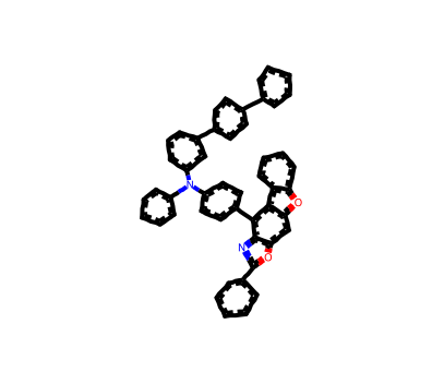 c1ccc(-c2ccc(-c3cccc(N(c4ccccc4)c4ccc(-c5c6nc(-c7ccccc7)oc6cc6oc7ccccc7c56)cc4)c3)cc2)cc1